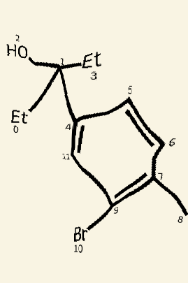 CCC(O)(CC)c1ccc(C)c(Br)c1